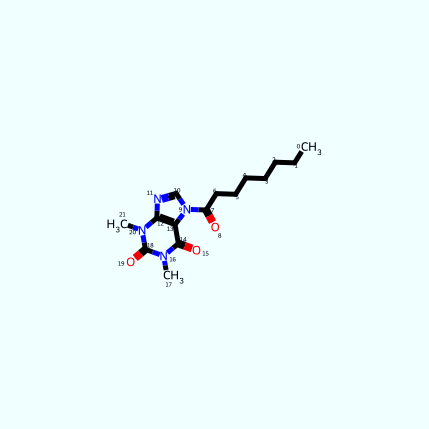 CCCCCCCC(=O)n1cnc2c1c(=O)n(C)c(=O)n2C